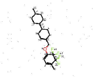 CC1=CC=C(OCC2CCC(C3CCC(C)CC3)CC2)C(F)(F)C1(F)F